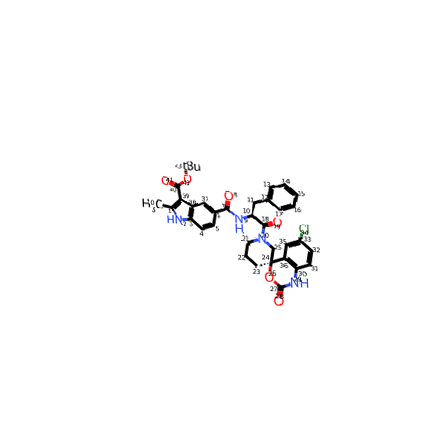 Cc1[nH]c2ccc(C(=O)N[C@@H](Cc3ccccc3)C(=O)N3CCC[C@@]4(C3)OC(=O)Nc3ccc(Cl)cc34)cc2c1C(=O)OC(C)(C)C